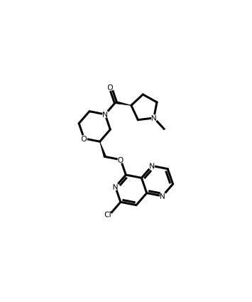 CN1CC[C@H](C(=O)N2CCO[C@H](COc3nc(Cl)cc4nccnc34)C2)C1